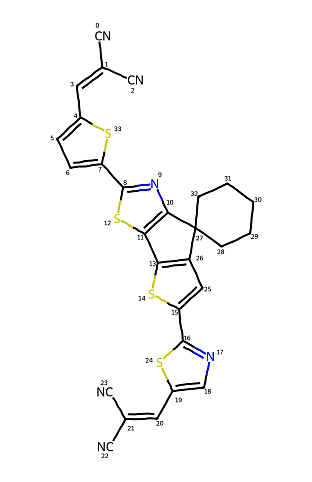 N#CC(C#N)=Cc1ccc(-c2nc3c(s2)-c2sc(-c4ncc(C=C(C#N)C#N)s4)cc2C32CCCCC2)s1